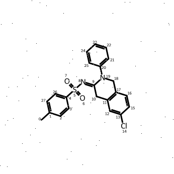 Cc1ccc(S(=O)(=O)N=C2Cc3cc(Cl)ccc3CN2c2ccccc2)cc1